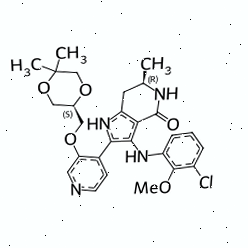 COc1c(Cl)cccc1Nc1c(-c2ccncc2OC[C@H]2COC(C)(C)CO2)[nH]c2c1C(=O)N[C@H](C)C2